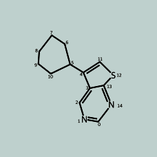 c1ncc2c(C3CCCCC3)csc2n1